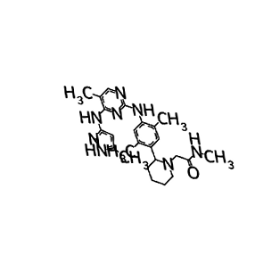 CNC(=O)CN1CCCCC1c1cc(C)c(Nc2ncc(C)c(Nc3cc(C)[nH]n3)n2)cc1C